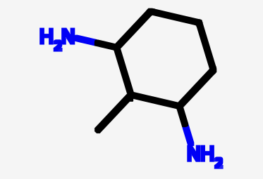 C[C]1C(N)CCCC1N